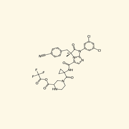 C[C@@]1(Cc2ccc(C#N)cc2)C(=O)N(c2cc(Cl)cc(Cl)c2)c2ncc(C(=O)NC3(C(=O)N4CCNC(C(=O)OC(=O)C(F)(F)F)C4)CC3)n21